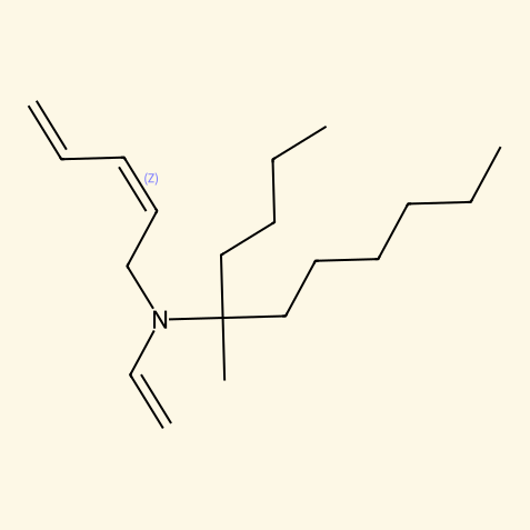 C=C/C=C\CN(C=C)C(C)(CCCC)CCCCCC